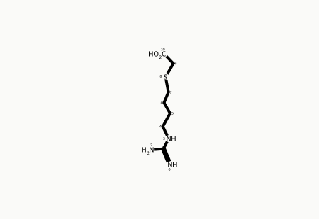 N=C(N)NCCCCSCC(=O)O